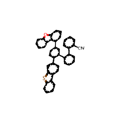 N#Cc1ccccc1-c1ccccc1-c1cc(-c2cccc3oc4ccccc4c23)ccc1-c1ccc2c(c1)sc1ccccc12